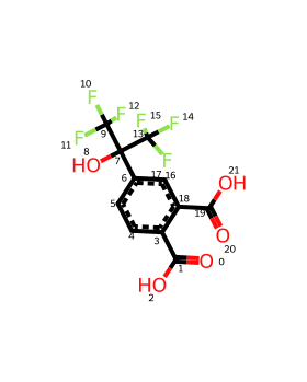 O=C(O)c1ccc(C(O)(C(F)(F)F)C(F)(F)F)cc1C(=O)O